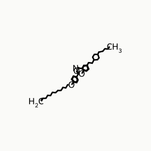 C=CCCCCCCCCCCOc1ccc(C(=O)Oc2ccc(CCC3CCC(CCCCC)CC3)cc2C#N)cc1